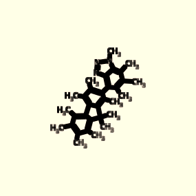 Cc1c(C)c(C)c2c(c1C)-c1c(C)c(C)c(-c3c(C)c(C)c(C)c4c3nnn4C)c(C)c1C2(C)C